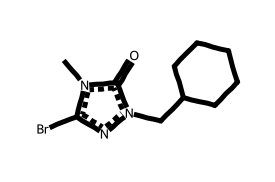 Cn1c(Br)nn(CC2CCCCC2)c1=O